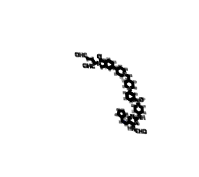 O=CCCC(C=O)N1Cc2cc(C3CCN(CC4CCN(c5cccc([S+]([O-])N6CCC(Nc7ncc(/C=C\C8CCCC8)c(NC=O)n7)CC6)c5)CC4)CC3)ccc2C1=O